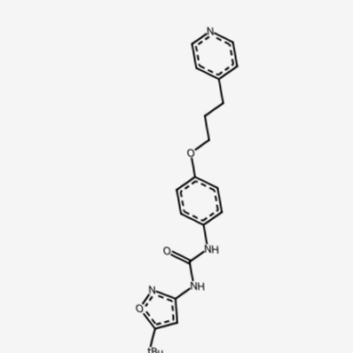 CC(C)(C)c1cc(NC(=O)Nc2ccc(OCCCc3ccncc3)cc2)no1